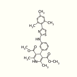 COC(=O)C1=C(C)NC(C)=C(C(=O)OC)C1c1cccc(Nc2nc(-c3c(C)cc(C)cc3C)cs2)c1